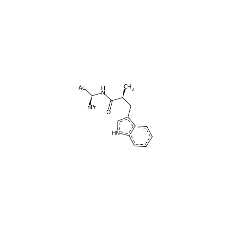 CCC[C@H](NC(=O)[C@@H](C)Cc1c[nH]c2ccccc12)C(C)=O